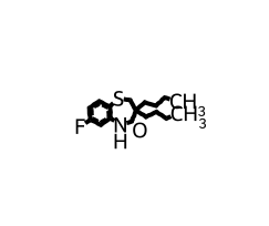 CCCCC1(CCCC)CSc2ccc(F)cc2NC1=O